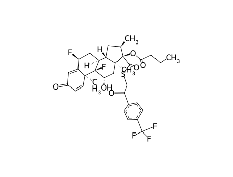 CCCC(=O)O[C@]1(C(=O)SCC(=O)c2ccc(C(F)(F)F)cc2)[C@H](C)C[C@H]2[C@@H]3C[C@H](F)C4=CC(=O)C=C[C@]4(C)[C@@]3(F)[C@@H](O)C[C@@]21C